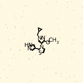 COc1nn(CC2CC2)cc1N1C=CSC1c1cn[nH]c1